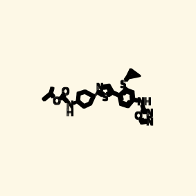 CC(C)OC(=O)N[C@H]1CC[C@H](c2ncc(-c3ccc(Nc4nnco4)cc3SC3CC3)s2)CC1